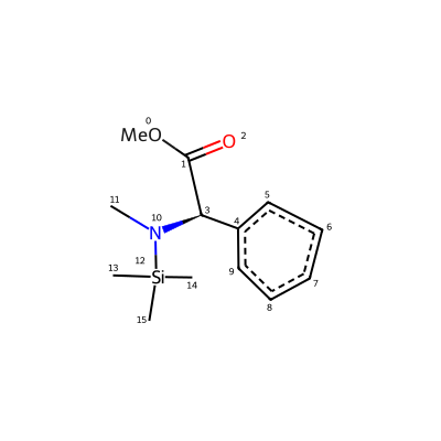 COC(=O)[C@@H](c1ccccc1)N(C)[Si](C)(C)C